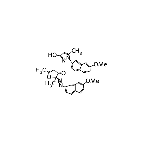 COc1ccc2ccc(-n3nc(O)cc3C)cc2c1.COc1ccc2ccc(N=NC3(C)OC(C)=CC3=O)cc2c1